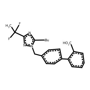 CCC(C)c1nc(C(C)(F)F)nn1Cc1ccc(-c2ccccc2C(=O)O)cc1